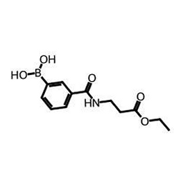 CCOC(=O)CCNC(=O)c1cccc(B(O)O)c1